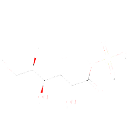 O=C(OS(=O)(=O)O)[C@H](O)[C@@H](O)[C@@H](O)[C@H](O)CO